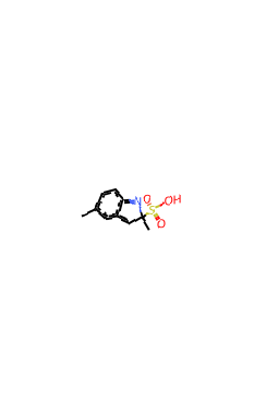 Cc1ccc2c(c1)=CC(C)(S(=O)(=O)O)N=2